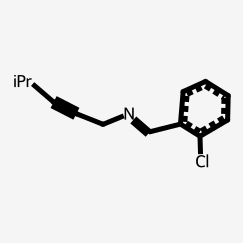 CC(C)C#CCN=Cc1ccccc1Cl